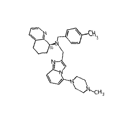 Cc1ccc(CN(Cc2cn3c(N4CCN(C)CC4)cccc3n2)[C@H]2CCCc3cccnc32)cc1